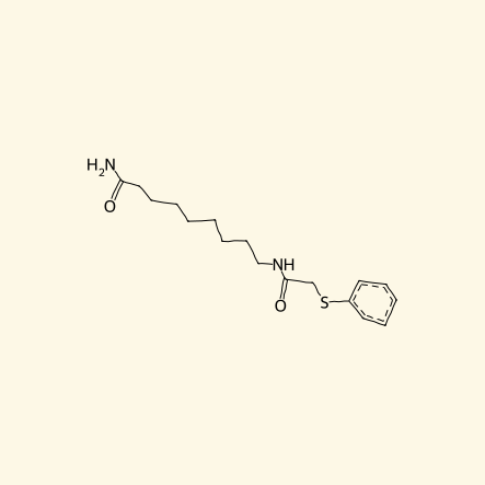 NC(=O)CCCCCCCCNC(=O)CSc1ccccc1